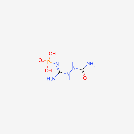 NC(=O)NNC(N)=NP(=O)(O)O